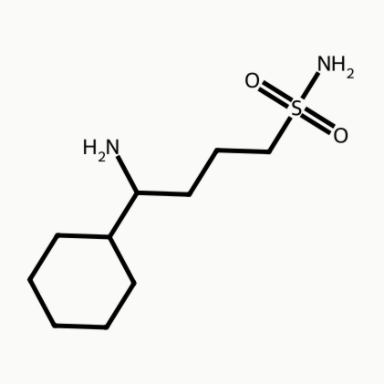 NC(CCCS(N)(=O)=O)C1CCCCC1